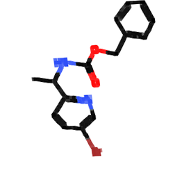 CC(NC(=O)OCc1ccccc1)c1ccc(Br)cn1